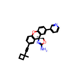 CC1(C#Cc2ccc3c(c2)[C@]2(COC(N)=N2)c2cc(-c4cccnc4)ccc2O3)CCC1